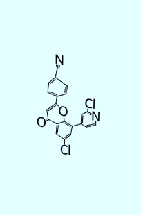 N#Cc1ccc(-c2cc(=O)c3cc(Cl)cc(-c4ccnc(Cl)c4)c3o2)cc1